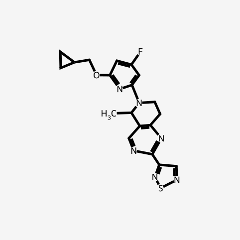 CC1c2cnc(-c3cnsn3)nc2CCN1c1cc(F)cc(OCC2CC2)n1